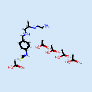 CC(=O)O.CC(=O)O.CC(=O)O.CC(=O)O.CC(=O)O.CC(CNCc1ccc(N=C=S)cc1)NCCN